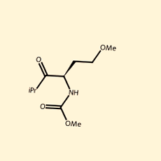 COCC[C@@H](NC(=O)OC)C(=O)C(C)C